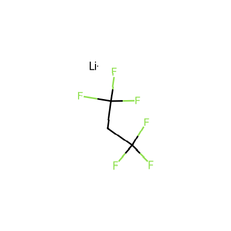 FC(F)(F)CC(F)(F)F.[Li]